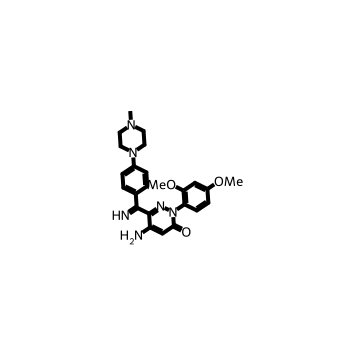 COc1ccc(-n2nc(C(=N)c3ccc(N4CCN(C)CC4)cc3)c(N)cc2=O)c(OC)c1